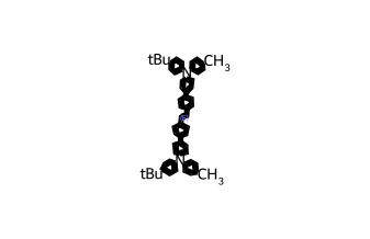 Cc1ccc(N(c2ccc(-c3ccc(/C=C/c4ccc(-c5ccc(N(c6ccc(C)cc6)c6ccc(C(C)(C)C)cc6)cc5)cc4)cc3)cc2)c2ccc(C(C)(C)C)cc2)cc1